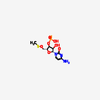 CSOC[C@H]1O[C@@H](n2ccc(N)nc2=O)[C@H](O)[C@@H]1O[PH](=O)O